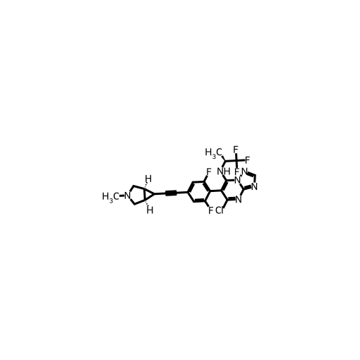 C[C@H](Nc1c(-c2c(F)cc(C#CC3[C@H]4CN(C)C[C@@H]34)cc2F)c(Cl)nc2ncnn12)C(F)(F)F